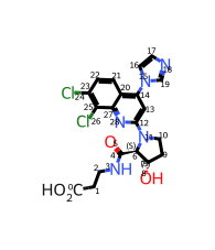 O=C(O)CCNC(=O)[C@@H]1[C@@H](O)CCN1c1cc(-n2ccnc2)c2ccc(Cl)c(Cl)c2n1